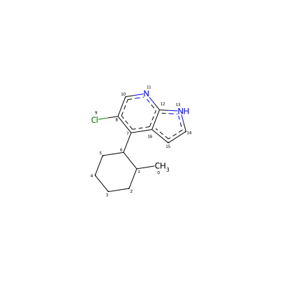 CC1CCCCC1c1c(Cl)cnc2[nH]ccc12